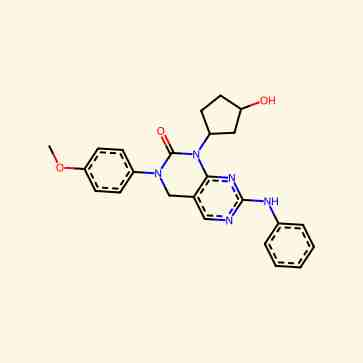 COc1ccc(N2Cc3cnc(Nc4ccccc4)nc3N(C3CCC(O)C3)C2=O)cc1